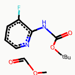 CC(C)(C)OC(=O)Nc1ncccc1F.COC=O